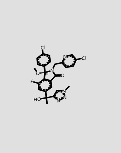 CO[C@]1(c2ccc(Cl)cc2)c2c(F)cc(C(C)(O)c3cn(C)nn3)cc2C(=O)N1Cc1ccc(Cl)cn1